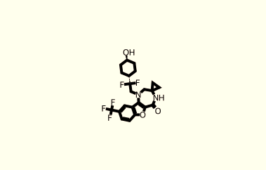 O=C1NC2(CC2)CN(CC(F)(F)[C@H]2CC[C@H](O)CC2)c2c1oc1ccc(C(F)(F)F)cc21